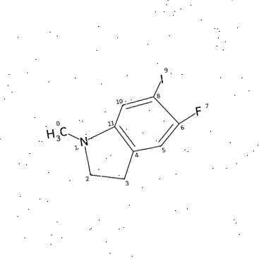 CN1CCc2cc(F)c(I)cc21